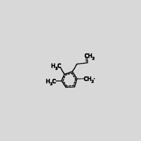 [CH2]c1ccc(C)c(C)c1CC=C